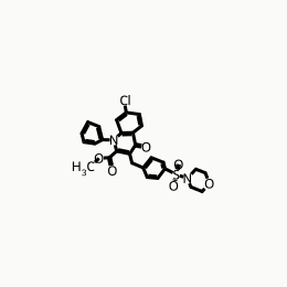 COC(=O)c1c(Cc2ccc(S(=O)(=O)N3CCOCC3)cc2)c(=O)c2ccc(Cl)cc2n1-c1ccccc1